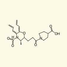 C=C/C=C1/OC(CCC(=O)N2CCC(C(=O)O)CC2)[C@@H](C)N([SH](=O)=O)/C1=C/C=C